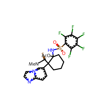 CNC(=S)C1(c2ccc3nccn3c2)CCCCC1(NS(=O)(=O)c1c(F)c(F)c(F)c(F)c1F)OC(C)=O